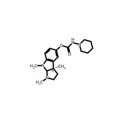 CN1CC[C@]2(C)c3cc(OC(=O)NN4CCCCC4)ccc3N(C)C12